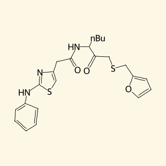 CCCCC(NC(=O)Cc1csc(Nc2ccccc2)n1)C(=O)CSCc1ccco1